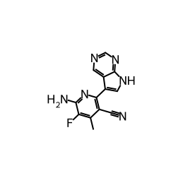 Cc1c(F)c(N)nc(-c2c[nH]c3ncncc23)c1C#N